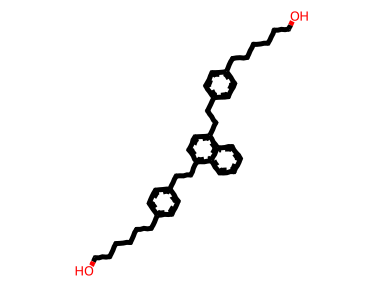 OCCCCCCc1ccc(CCc2ccc(CCc3ccc(CCCCCCO)cc3)c3ccccc23)cc1